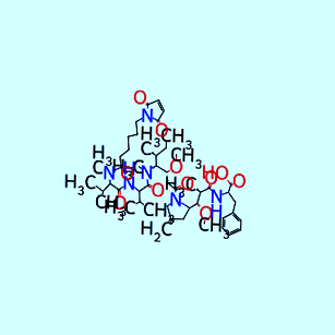 C=C1CC([C@H](OC)[C@@H](C)C(=O)NC(Cc2ccccc2)C(=O)O)N(C(=O)C[C@@H](OC)[C@H]([C@@H](C)CC)N(C)C(=O)C(NC(=O)C(C(C)C)N(C)C(=O)CCCCCN2C(=O)C=CC2=O)C(C)C)C1